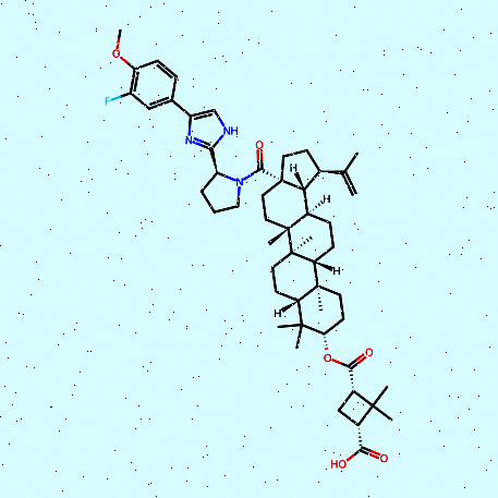 C=C(C)[C@@H]1CC[C@]2(C(=O)N3CCC[C@H]3c3nc(-c4ccc(OC)c(F)c4)c[nH]3)CC[C@]3(C)[C@H](CC[C@@H]4[C@@]5(C)CC[C@H](OC(=O)[C@H]6C[C@@H](C(=O)O)C6(C)C)C(C)(C)[C@@H]5CC[C@]43C)[C@@H]12